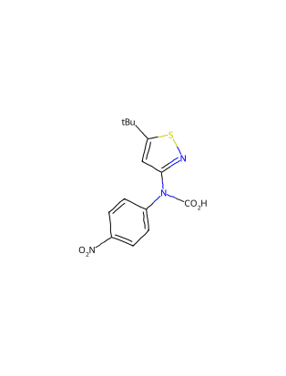 CC(C)(C)c1cc(N(C(=O)O)c2ccc([N+](=O)[O-])cc2)ns1